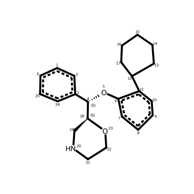 c1ccc([C@H](Oc2ccccc2C2CCCCC2)[C@@H]2CNCCO2)cc1